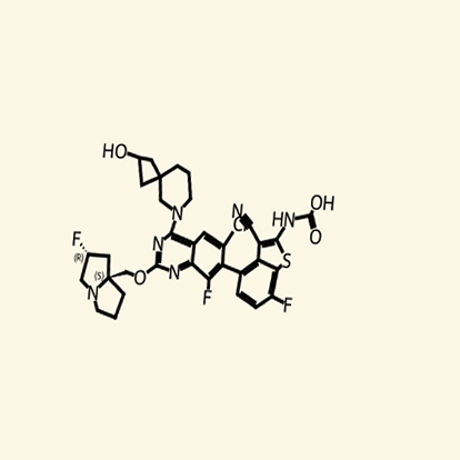 N#Cc1c(NC(=O)O)sc2c(F)ccc(-c3c(Cl)cc4c(N5CCCC6(CC(O)C6)C5)nc(OC[C@@]56CCCN5C[C@H](F)C6)nc4c3F)c12